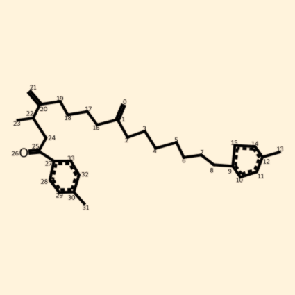 C=C(CCCCCCCc1ccc(C)cc1)CCCCC(=C)C(C)CC(=O)c1ccc(C)cc1